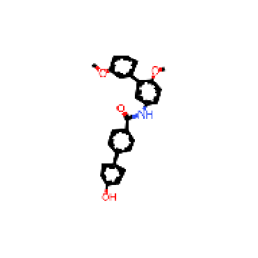 COc1cccc(-c2cc(NC(=O)c3ccc(-c4ccc(O)cc4)cc3)ccc2OC)c1